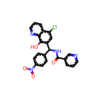 O=C(NC(c1ccc([N+](=O)[O-])cc1)c1cc(Cl)c2cccnc2c1O)c1cccnc1